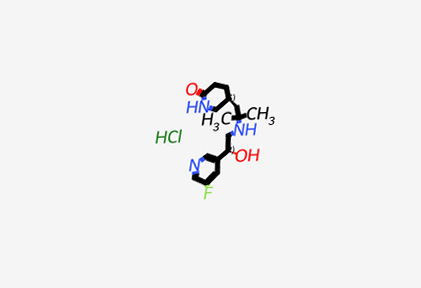 CC(C)(C[C@@H]1CCC(=O)NC1)NC[C@H](O)c1cncc(F)c1.Cl